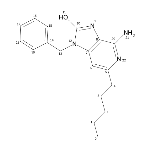 CCCCCc1cc2c(nc(O)n2Cc2ccccc2)c(N)n1